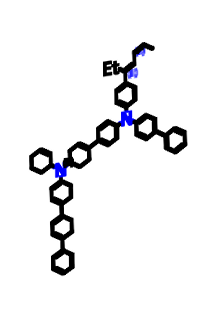 C/C=C\C=C(/CC)c1ccc(N(c2ccc(C3=CC[C@H](N(C4=CC=C(C5=CC=C(c6ccccc6)CC5)CC4)C4C=CCCC4)CC3)cc2)c2ccc(-c3ccccc3)cc2)cc1